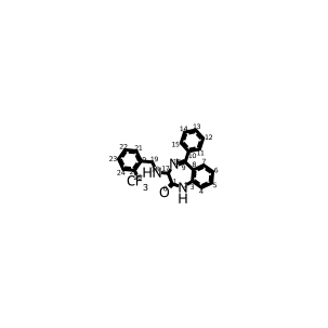 O=C1Nc2ccccc2C(c2ccccc2)=NC1NCc1ccccc1C(F)(F)F